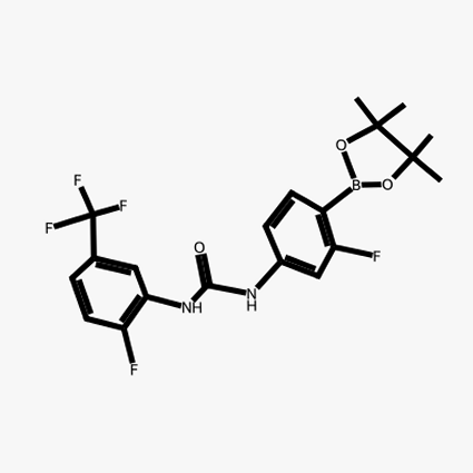 CC1(C)OB(c2ccc(NC(=O)Nc3cc(C(F)(F)F)ccc3F)cc2F)OC1(C)C